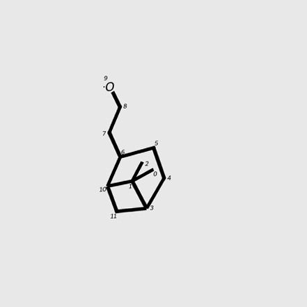 CC1(C)C2CCC(CC[O])C1C2